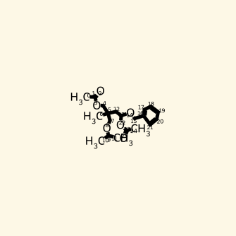 CC(=O)OCC(C)(COC(C)C)CC(OCc1ccccc1)OC(C)=O